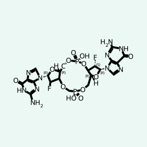 Nc1nc2c(ncn2[C@@H]2O[C@@H]3COP(=O)(O)OC4[C@@H](COP(=O)(O)COC3C2F)O[C@@H](n2cnc3c(=O)[nH]c(N)nc32)[C@H]4F)c(=O)[nH]1